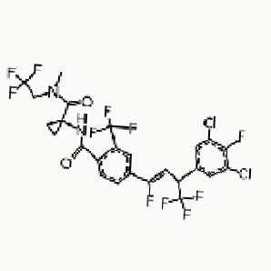 CN(CC(F)(F)F)C(=O)C1(NC(=O)c2ccc(/C(F)=C/C(c3cc(Cl)c(F)c(Cl)c3)C(F)(F)F)cc2C(F)(F)F)CC1